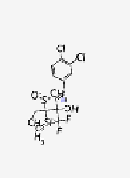 CCC(SC)([S+](C)[O-])C(O)(/C=C/c1ccc(Cl)c(Cl)c1)C(F)(F)F